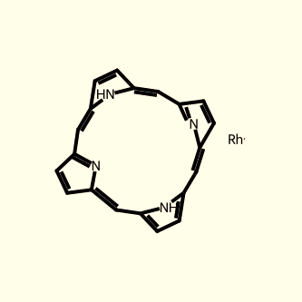 C1=Cc2cc3ccc(cc4nc(cc5ccc(cc1n2)[nH]5)C=C4)[nH]3.[Rh]